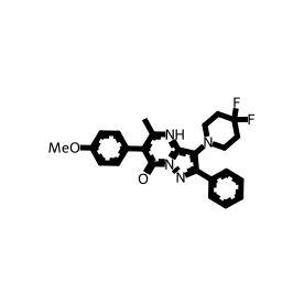 COc1ccc(-c2c(C)[nH]c3c(N4CCC(F)(F)CC4)c(-c4ccccc4)nn3c2=O)cc1